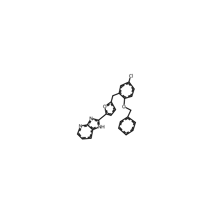 Clc1ccc(OCc2ccccc2)c(Cc2ccc(-c3nc4ncccc4[nH]3)o2)c1